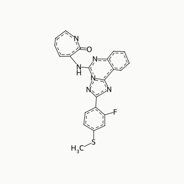 CSc1ccc(-c2nc3c4ccccc4nc(Nc4ccccnc4=O)n3n2)c(F)c1